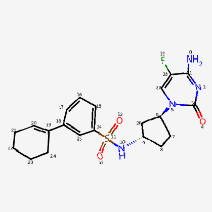 Nc1nc(=O)n([C@H]2CC[C@H](NS(=O)(=O)c3cccc(C4=CCCCC4)c3)C2)cc1F